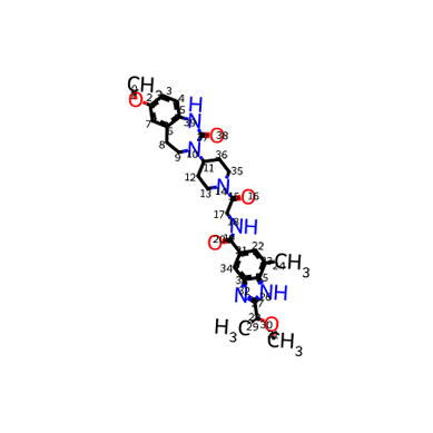 COc1ccc2c(c1)CCN(C1CCN(C(=O)CNC(=O)c3cc(C)c4[nH]c([C@H](C)OC)nc4c3)CC1)C(=O)N2